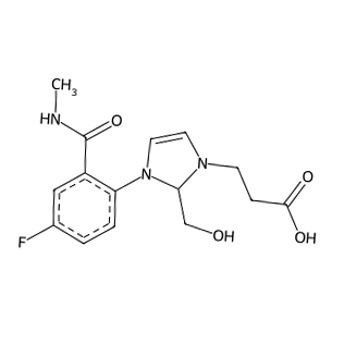 CNC(=O)c1cc(F)ccc1N1C=CN(CCC(=O)O)C1CO